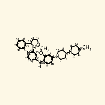 COc1cc(N2CCC(N3CCN(C)CC3)CC2)ccc1Nc1cc(N2OCCC2c2ccccc2)ncn1